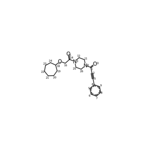 O=C(C#Cc1ccccc1)N1CCN(C(=O)COC2CCCCCC2)CC1